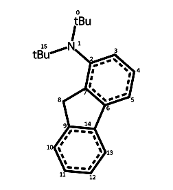 CC(C)(C)N(c1cccc2c1Cc1ccccc1-2)C(C)(C)C